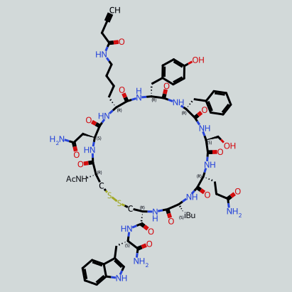 C#CCC(=O)NCCCC[C@H]1NC(=O)[C@H](CC(N)=O)NC(=O)[C@@H](NC(C)=O)CSSC[C@@H](C(=O)N[C@@H](Cc2c[nH]c3ccccc23)C(N)=O)NC(=O)C([C@@H](C)CC)NC(=O)[C@@H](CCC(N)=O)NC(=O)[C@H](CO)NC(=O)[C@@H](Cc2ccccc2)NC(=O)[C@@H](Cc2ccc(O)cc2)NC1=O